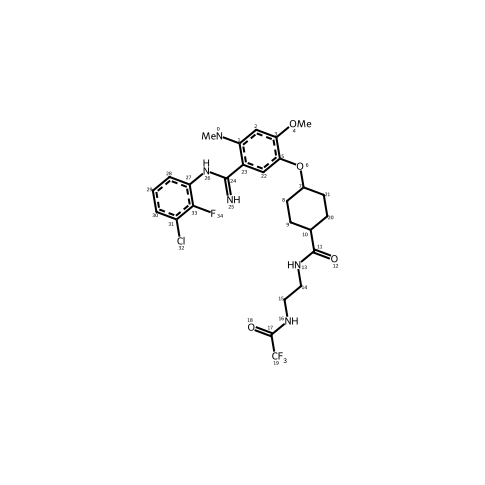 CNc1cc(OC)c(OC2CCC(C(=O)NCCNC(=O)C(F)(F)F)CC2)cc1C(=N)Nc1cccc(Cl)c1F